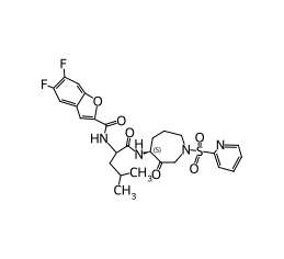 CC(C)CC(NC(=O)c1cc2cc(F)c(F)cc2o1)C(=O)N[C@H]1CCCN(S(=O)(=O)c2ccccn2)CC1=O